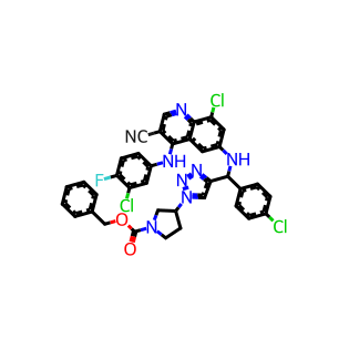 N#Cc1cnc2c(Cl)cc(NC(c3ccc(Cl)cc3)c3cn(C4CCN(C(=O)OCc5ccccc5)C4)nn3)cc2c1Nc1ccc(F)c(Cl)c1